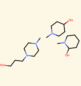 CN1CCC(O)CC1.CN1CCCCC1O.CN1CCN(CCCO)CC1